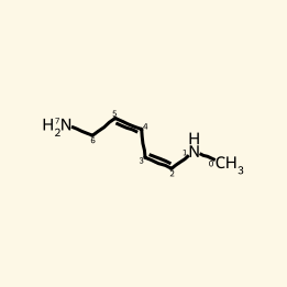 CN/C=C\C=C/CN